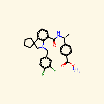 C[C@H](NC(=O)c1cccc2c1N(Cc1ccc(F)c(F)c1)CC21CCCC1)c1ccc(C(=O)ON)cc1